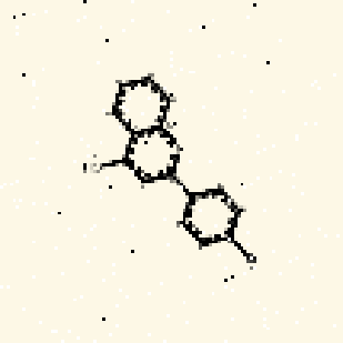 Oc1cc(-c2ccc(Br)cc2)nc2ccccc12